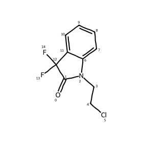 O=C1N(CCCl)c2ccccc2C1(F)F